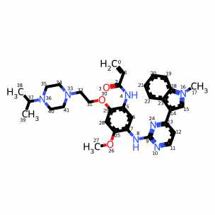 C=CC(=O)Nc1cc(Nc2nccc(-c3cn(C)c4ccccc34)n2)c(OC)cc1OCCN1CCN(C(C)C)CC1